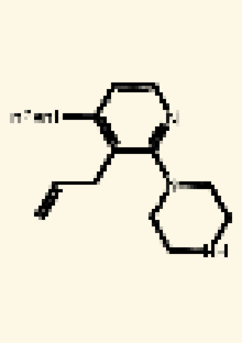 C=CCc1c(CCCCC)ccnc1N1CCNCC1